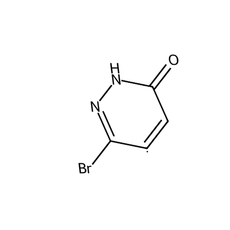 O=c1c[c]c(Br)n[nH]1